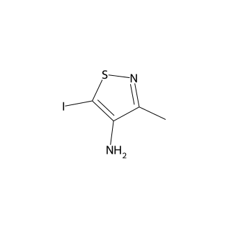 Cc1nsc(I)c1N